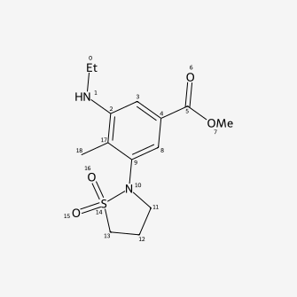 CCNc1cc(C(=O)OC)cc(N2CCCS2(=O)=O)c1C